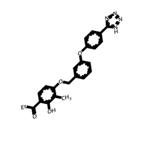 CCC(=O)c1ccc(OCc2cccc(Oc3ccc(-c4nnn[nH]4)cc3)c2)c(C)c1O